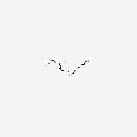 CNCCCPCOCCN(C)COCCC(C)CC(C)(C)OCCN(C)COC